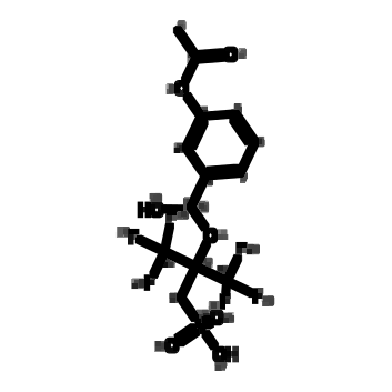 CC(=O)Oc1cccc([C@@H](O)OC(CS(=O)(=O)O)(C(F)(F)F)C(F)(F)F)c1